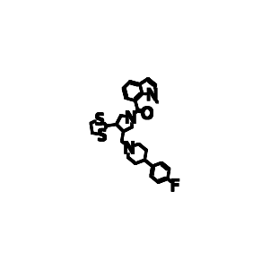 Cn1ccc2cccc(C(=O)N3CC(CN4CCC(c5ccc(F)cc5)CC4)C(C4SCCS4)C3)c21